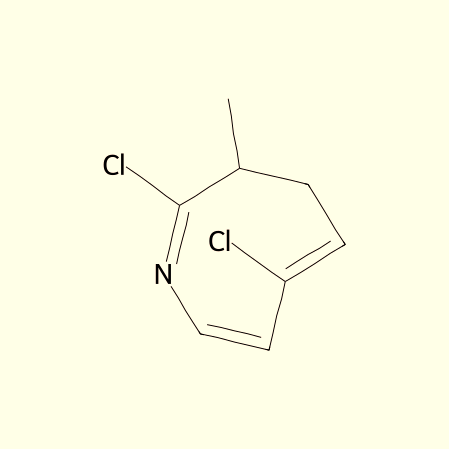 CC1C/C=C(Cl)/C=C\N=C/1Cl